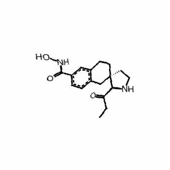 CCC(=O)C1NCC[C@]12CCc1cc(C(=O)NO)ccc1C2